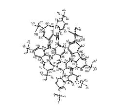 CC(C)(C)c1ccc2c(c1)c1cc(C(C)(C)C)cc3c1n2-c1ccc(-c2ccc4c5c2-n2c6ccc(C(C)(C)C)cc6c6cc(C(C)(C)C)cc(c62)B5c2cc(C(C)(C)C)cc5c6cc(C(C)(C)C)ccc6n-4c25)c2c1B3c1cc(C(C)(C)C)cc3c4cc(C(C)(C)C)ccc4n-2c13